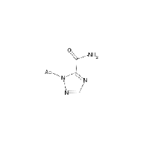 CC(=O)n1ncnc1C(N)=O